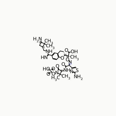 CC1(C)[C@@H](CNC(=N)c2ccc3c(c2)CC[C@H]([C@](C)(O/N=C(\C(=O)N[C@@H]2C(=O)N(OS(=O)(=O)O)C2(C)C)c2csc(N)n2)C(=O)O)O3)C[C@H]1N